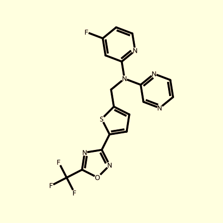 Fc1ccnc(N(Cc2ccc(-c3noc(C(F)(F)F)n3)s2)c2cnccn2)c1